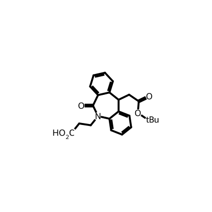 CC(C)(C)OC(=O)CC1c2ccccc2C(=O)N(CCC(=O)O)c2ccccc21